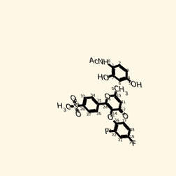 CC(=O)Nc1ccc(O)cc1O.Cc1cc(=O)c(Oc2ccc(F)cc2F)c(-c2ccc(S(C)(=O)=O)cc2)o1